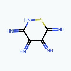 N=C1NSC(=N)C(=N)C1=N